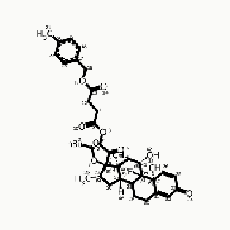 CCCCC(=O)O[C@]1(C(=O)COC(=O)CCC(=O)OCc2ccc(C)cc2)[C@@H](C)C[C@H]2C3CCC4=CC(=O)C=C[C@]4(C)[C@@]3(F)[C@@H](O)C[C@@]21C